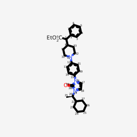 CCOC(=O)C(c1ccccc1)C1CCN(c2ccc(-n3ccn([C@H](C)C4CCCCC4)c3=O)cc2)CC1